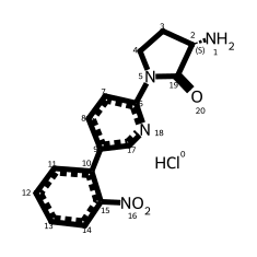 Cl.N[C@H]1CCN(c2ccc(-c3ccccc3[N+](=O)[O-])cn2)C1=O